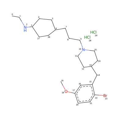 CCNC1CCC(CCCN2CCC(Cc3cc(OC)ccc3Br)CC2)CC1.Cl.Cl